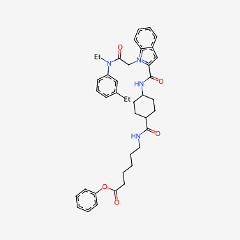 CCc1cccc(N(CC)C(=O)Cn2c(C(=O)NC3CCC(C(=O)NCCCCCC(=O)Oc4ccccc4)CC3)cc3ccccc32)c1